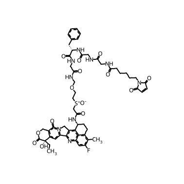 CC[C@@]1(O)C(=O)OCc2c1cc1n(c2=O)Cc2c-1nc1cc(F)c(C)c3c1c2[C@@H](NC(=O)C[S+]([O-])CCOCNC(=O)CNC(=O)[C@H](Cc1ccccc1)NC(=O)CNC(=O)CNC(=O)CCCCCN1C(=O)C=CC1=O)CC3